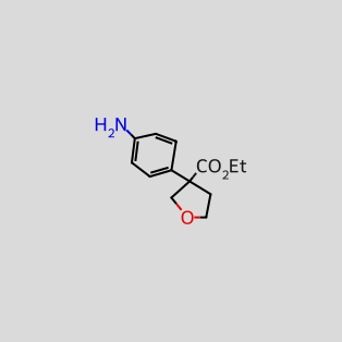 CCOC(=O)C1(c2ccc(N)cc2)CCOC1